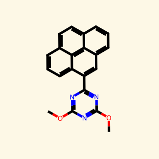 COc1nc(OC)nc(-c2cc3cccc4ccc5cccc2c5c43)n1